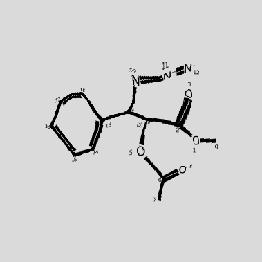 COC(=O)[C@@H](OC(C)=O)C(N=[N+]=[N-])c1ccccc1